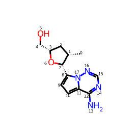 C[C@H]1C[C@@H](CO)O[C@H]1c1ccc2c(N)ncnn12